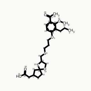 CCCc1c(OCCCSCC2COC3(CCC(CC(=O)O)C3)S2)ccc(C(C)=O)c1OC